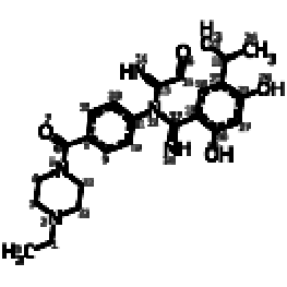 CCN1CCN(C(=O)c2ccc(N(C(=N)C=O)C(=N)c3cc(C(C)C)c(O)cc3O)cc2)CC1